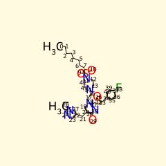 CCCCCCCCS(=O)(=O)N1CCN(C(=O)Cn2cc(Cc3cnn(C)c3)c(=O)nc2SCc2ccc(F)cc2)CC1